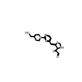 O=CC(=O)C1NCS/C1=C\c1ccnc(N2CCC(CO)CC2)n1